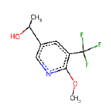 COc1ncc(C(C)O)cc1C(F)(F)F